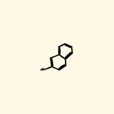 CCCc1[c]cc2ccccc2c1